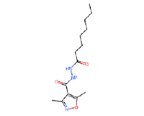 CCCCCCCC(=O)NNC(=O)c1c(C)noc1C